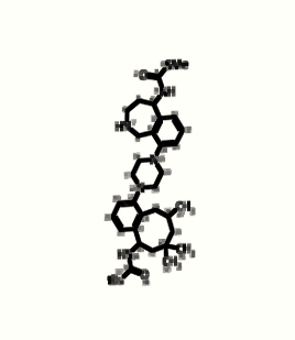 CSC(=O)NC1CCNCc2c1cccc2N1CCN(c2cccc3c2CC(C)CC(C)(C)CC3NC(=O)C(C)(C)C)CC1